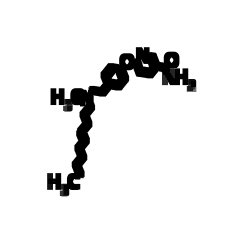 CCCCCC=CCCCN(C)CCc1ccc(Oc2ccc(C(N)=O)cn2)cc1